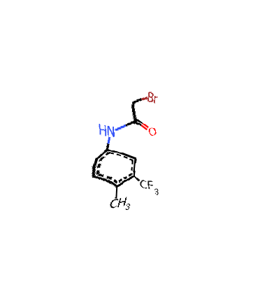 Cc1ccc(NC(=O)CBr)cc1C(F)(F)F